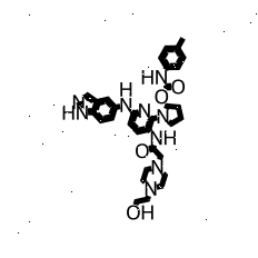 Cc1ccc(NC(=O)O[C@H]2CCCN2c2nc(Nc3ccc4[nH]ncc4c3)ccc2NC(=O)CN2CCN(CCO)CC2)cc1